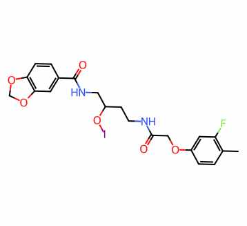 Cc1ccc(OCC(=O)NCCC(CNC(=O)c2ccc3c(c2)OCO3)OI)cc1F